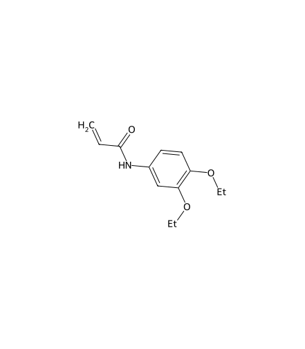 C=CC(=O)Nc1ccc(OCC)c(OCC)c1